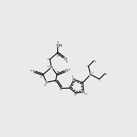 CCN(CC)c1nc(C=C2SC(=S)N(CC(=O)O)C2=O)cs1